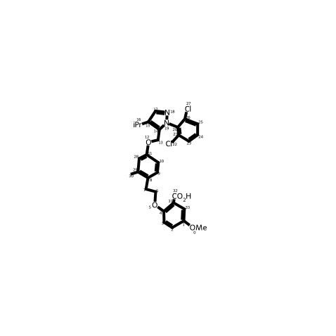 COc1ccc(OCCc2ccc(OCc3c(C(C)C)cnn3-c3c(Cl)cccc3Cl)cc2C)c(C(=O)O)c1